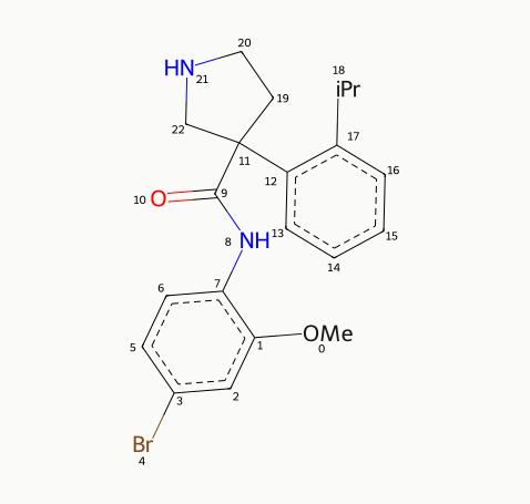 COc1cc(Br)ccc1NC(=O)C1(c2ccccc2C(C)C)CCNC1